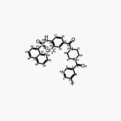 O=C(c1cncc(F)c1)N1CCN(C(=O)c2ccc(NS(=O)(=O)c3cccc4cccnc34)c(C(F)(F)F)c2)CC1